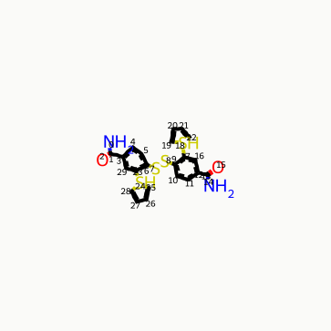 NC(=O)c1ccc(SSc2ccc(C(N)=O)cc2[SH]2C=CC=C2)c([SH]2C=CC=C2)c1